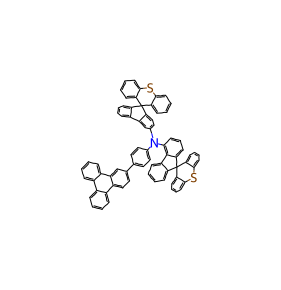 c1ccc2c(c1)Sc1ccccc1C21c2ccccc2-c2cc(N(c3ccc(-c4ccc5c6ccccc6c6ccccc6c5c4)cc3)c3cccc4c3-c3ccccc3C43c4ccccc4Sc4ccccc43)ccc21